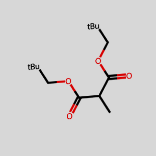 CC(C(=O)OCC(C)(C)C)C(=O)OCC(C)(C)C